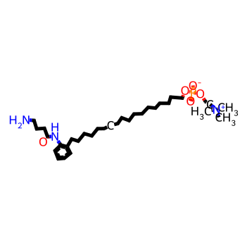 C[N+](C)(C)CCOP(=O)([O-])OCCCCCCCCCCCCCCCCCCc1ccccc1NC(=O)CCCN